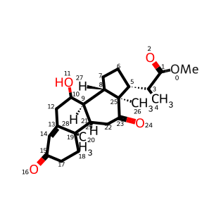 COC(=O)C(C)[C@H]1CC[C@H]2[C@@H]3C(O)CC4=CC(=O)CC[C@]4(C)[C@H]3CC(=O)[C@]12C